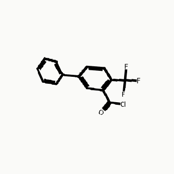 O=C(Cl)c1cc(-c2ccccc2)ccc1C(F)(F)F